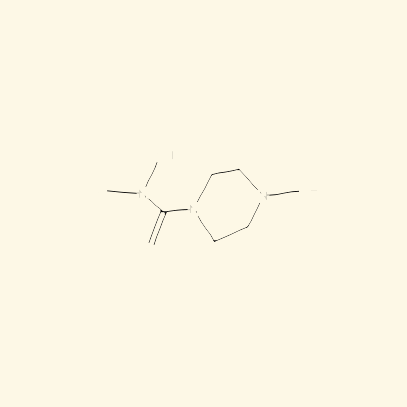 CN1CCN(C(=S)N(C)C)CC1